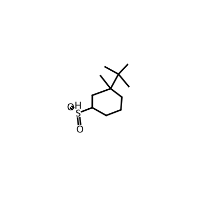 CC(C)(C)C1(C)CCCC([SH](=O)=O)C1